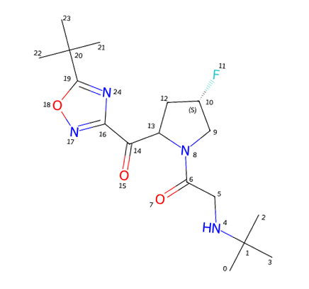 CC(C)(C)NCC(=O)N1C[C@@H](F)CC1C(=O)c1noc(C(C)(C)C)n1